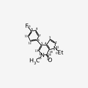 CCn1ccc2c(-c3ccc(F)cc3)cn(C)c(=O)c21